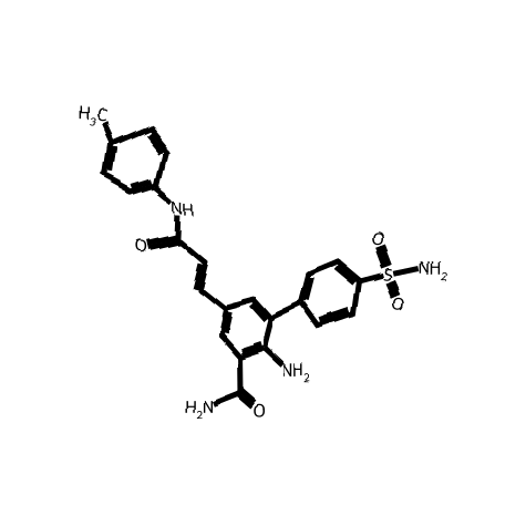 Cc1ccc(NC(=O)C=Cc2cc(C(N)=O)c(N)c(-c3ccc(S(N)(=O)=O)cc3)c2)cc1